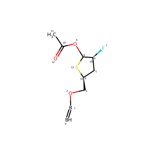 B=BOC[C@@H]1C[C@H](F)C(OC(C)=O)S1